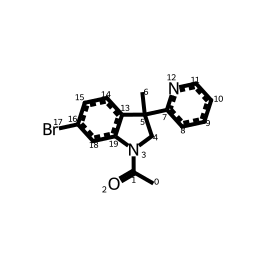 CC(=O)N1CC(C)(c2ccccn2)c2ccc(Br)cc21